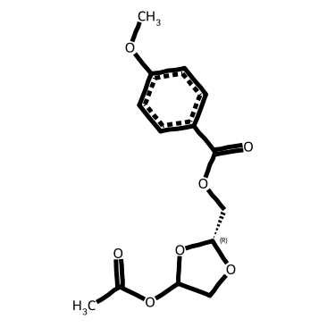 COc1ccc(C(=O)OC[C@@H]2OCC(OC(C)=O)O2)cc1